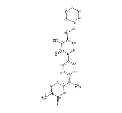 CN1CCC(N(C)c2ccc(-n3ncc(NCC4CCCOC4)c(Cl)c3=O)cc2)CC1=O